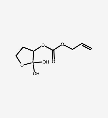 C=CCOC(=O)OC1CCOS1(O)O